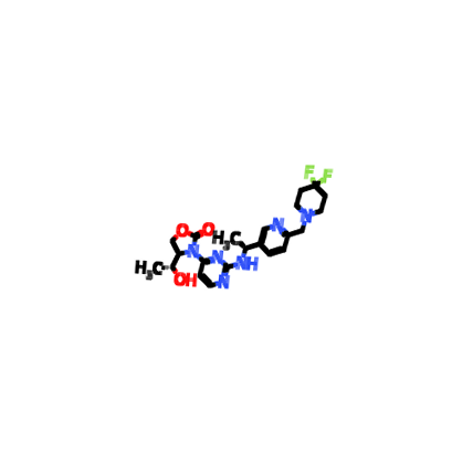 C[C@H](Nc1nccc(N2C(=O)OCC2[C@@H](C)O)n1)c1ccc(CN2CCC(F)(F)CC2)nc1